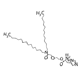 CCCCCCCCCCCCCCN(CCCCCCCCCCCCCC)C(=O)COCCOC(=O)C(N)Cc1cnc[nH]1